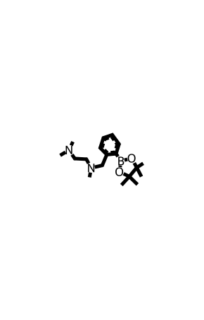 CN(C)CCN(C)Cc1ccccc1B1OC(C)(C)C(C)(C)O1